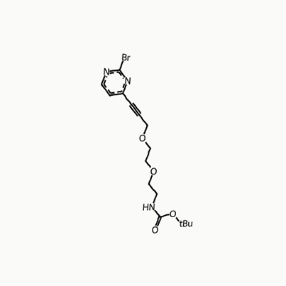 CC(C)(C)OC(=O)NCCOCCOCC#Cc1ccnc(Br)n1